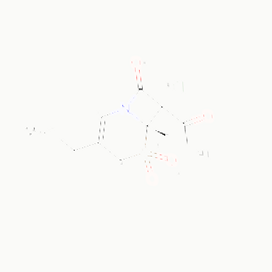 COCC1=CN2C(=O)[C@@](Cl)(C(=O)C(C)(C)C)[C@@H]2S(=O)(=O)C1